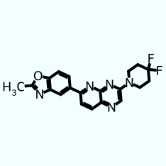 Cc1nc2cc(-c3ccc4ncc(N5CCC(F)(F)CC5)nc4n3)ccc2o1